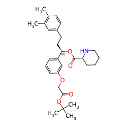 Cc1ccc(CC[C@@H](OC(=O)C2CCCCN2)c2cccc(OCC(=O)OC(C)(C)C)c2)cc1C